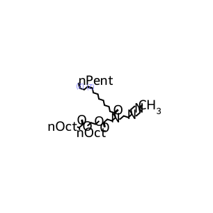 CCCCC/C=C\C/C=C\CCCCCCCC(=O)N(CCCN1CCN(C)CC1)CCC(=O)OCCOC(=O)C(CCCCCCCC)CCCCCCCC